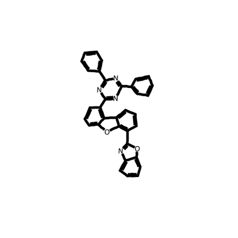 c1ccc(-c2nc(-c3ccccc3)nc(-c3cccc4oc5c(-c6nc7ccccc7o6)cccc5c34)n2)cc1